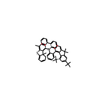 Cc1ccc(N(c2ccccc2-c2ccccc2)c2ccccc2-c2cccc3c2-c2c(C(C)(C)C)cc(C(C)(C)C)cc2C3(C)C)c2c1SC1=CC=CCC12C